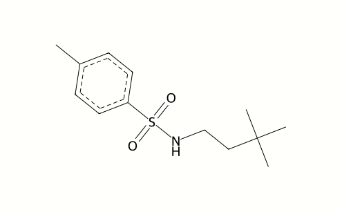 Cc1ccc(S(=O)(=O)NCCC(C)(C)C)cc1